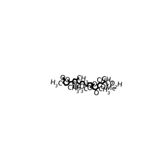 CCC1(C2OC(C3OC(=O)C(C)CC3C)CC2C)CCC(C2(C)CCC3(CC(=O)C(C)C(C(C)C(OC)C(C)C(=O)O)O3)O2)O1